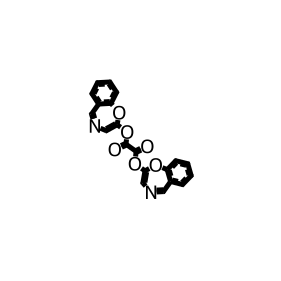 O=C(OC1=CN=Cc2ccccc2O1)C(=O)OC1=CN=Cc2ccccc2O1